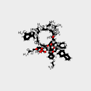 CC(=O)NCCCC[C@@H]1NC(=O)[C@H](Cc2c[nH]c3c(C)cccc23)NC(=O)[C@H]([C@@H](C)O)NC(=O)[C@H](CC(N)=O)NC(=O)[C@@H](NC(C)=O)C(C)(C)SSC(C)(C)[C@@H](C(=O)N[C@@H](Cc2ccc(OCCN)cc2)C(=O)N[C@@H](Cc2ccc3ccccc3c2)C(=O)NC2(C(=O)N[C@@H](CCC(=O)O)C(=O)N[C@@H](CC(N)=O)C(=O)N[C@@H](Cc3cccnc3)C(=O)N(C)CC(N)=O)CCOCC2)NC1=O